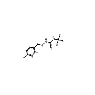 Cc1ccc(CCNC(=O)OC(C)(C)C)cn1